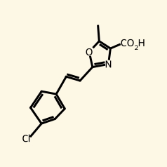 Cc1oc(/C=C/c2ccc(Cl)cc2)nc1C(=O)O